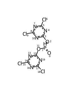 O=[PH](Oc1nc(Cl)nc(Cl)n1)Oc1nc(Cl)nc(Cl)n1